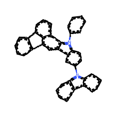 c1ccc(-n2c3ccc(-n4c5ccccc5c5ccccc54)cc3c3cc4c5c(cccc5c32)-c2ccccc2-4)cc1